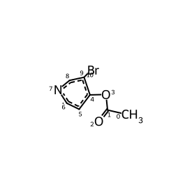 CC(=O)Oc1c[c]ncc1Br